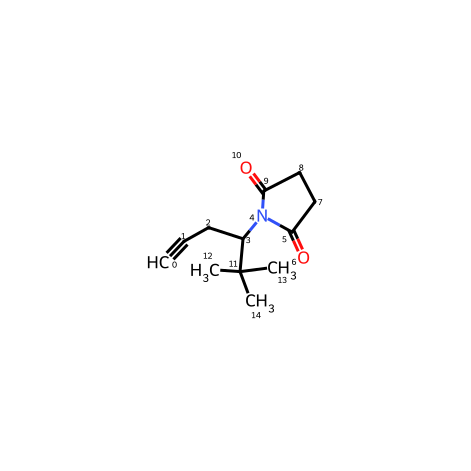 C#CCC(N1C(=O)CCC1=O)C(C)(C)C